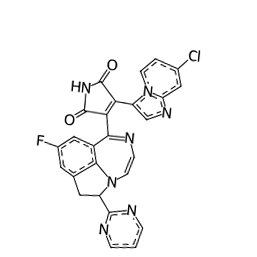 O=C1NC(=O)C(c2cnc3cc(Cl)ccn23)=C1C1=NC=CN2c3c(cc(F)cc31)CC2c1ncccn1